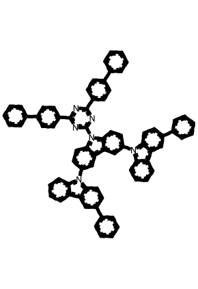 c1ccc(-c2ccc(-c3nc(-c4ccc(-c5ccccc5)cc4)nc(-n4c5ccc(-n6c7ccccc7c7cc(-c8ccccc8)ccc76)cc5c5cc(-n6c7ccccc7c7cc(-c8ccccc8)ccc76)ccc54)n3)cc2)cc1